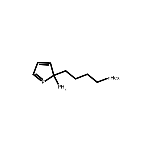 CCCCCCCCCCC1(P)C=CC=P1